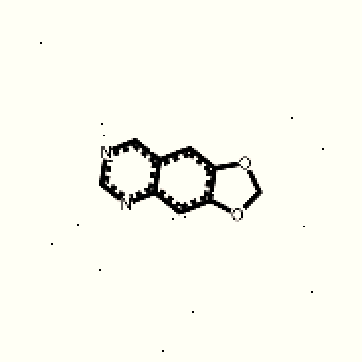 c1ncc2cc3c(cc2n1)OCO3